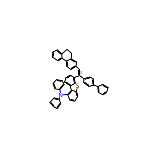 C(=C(\c1ccc(-c2ccccc2)cc1)c1cccc2c1sc1cccc(N(c3ccccc3)c3ccccc3)c12)/c1ccc2c(c1)CCc1ccccc1-2